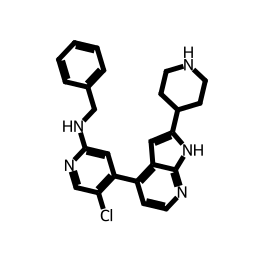 Clc1cnc(NCc2ccccc2)cc1-c1ccnc2[nH]c(C3CCNCC3)cc12